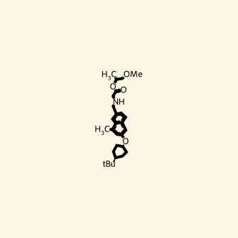 COCC(C)OC(=O)CNCc1ccc2cc(O[C@H]3CC[C@H](C(C)(C)C)CC3)cc(C)c2c1